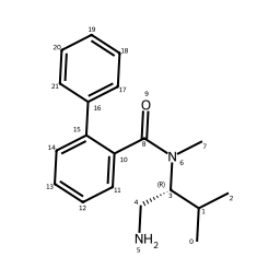 CC(C)[C@H](CN)N(C)C(=O)c1ccccc1-c1ccccc1